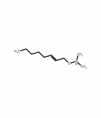 CCCCCC=CCO[SiH](C)C